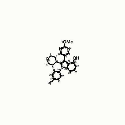 COc1ncc(-c2c(C3CCOCC3)n(-c3ccc(F)cc3)c3cccc(O)c23)cn1